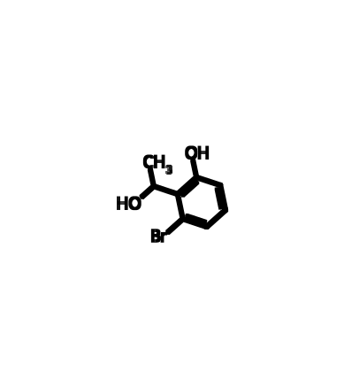 CC(O)c1c(O)cccc1Br